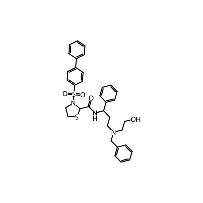 O=C(NC(CCN(CCO)Cc1ccccc1)c1ccccc1)C1SCCN1S(=O)(=O)c1ccc(-c2ccccc2)cc1